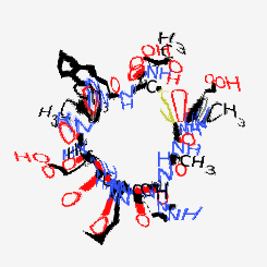 CN[C@@H](CCC(=O)O)C(=O)N[C@H]1CSCC[C@@H](C(=O)N[C@H](C(=O)O)C(C)O)NC(=O)[C@H](Cc2cc3ccccc3cn2)NC(=O)[C@H](C(C)C)NC(=O)[C@@H]2CCCCn3cc(nn3)CC[C@H](NC(=O)[C@H](C)NC1=O)C(=O)N[C@@H](Cc1c[nH]cn1)C(=O)NC(CC1CC1)C(=O)NCC(=O)N[C@@H](CCC(=O)O)C(=O)N2